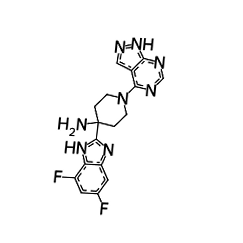 NC1(c2nc3cc(F)cc(F)c3[nH]2)CCN(c2ncnc3[nH]ncc23)CC1